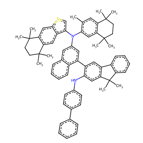 Cc1cc2c(cc1N(c1cc(-c3cc4c(cc3Nc3ccc(-c5ccccc5)cc3)C(C)(C)c3ccccc3-4)c3ccccc3c1)c1csc3cc4c(cc13)C(C)(C)CCC4(C)C)C(C)(C)CCC2(C)C